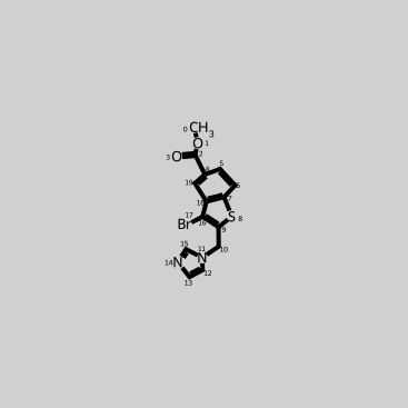 COC(=O)c1ccc2sc(Cn3ccnc3)c(Br)c2c1